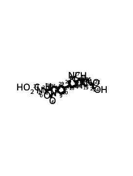 CN(C[C@@H]1OC(=O)N2c3ccc(-c4ccc(C5(C#N)[C@@H]6CN(C(=O)CO)C[C@@H]65)nc4)cc3C[C@@H]12)C(=O)O